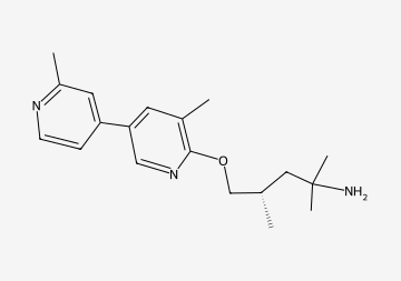 Cc1cc(-c2cnc(OC[C@@H](C)CC(C)(C)N)c(C)c2)ccn1